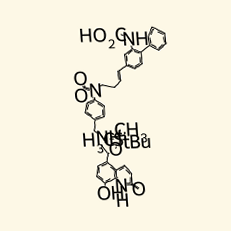 CC(C)(C)[Si](C)(C)OC(CNCc1ccc2c(c1)oc(=O)n2CC/C=C/c1ccc(-c2ccccc2)c(NC(=O)O)c1)c1ccc(O)c2[nH]c(=O)ccc12